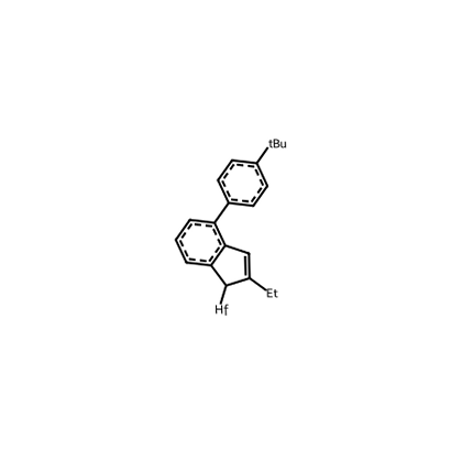 CCC1=Cc2c(-c3ccc(C(C)(C)C)cc3)cccc2[CH]1[Hf]